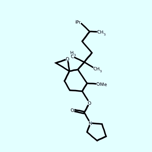 COC1C(OC(=O)N2CCCC2)CCC2(CO2)C1C(C)(C)CCC(C)C(C)C